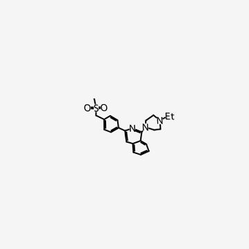 CCN1CCN(c2nc(-c3ccc(CS(C)(=O)=O)cc3)cc3ccccc23)CC1